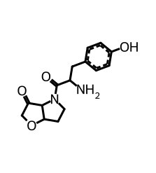 NC(Cc1ccc(O)cc1)C(=O)N1CCC2OCC(=O)C21